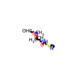 CN(COC(C)(C)CCCNC(=O)CCSSc1ccccn1)OCCC=O